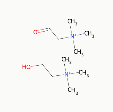 C[N+](C)(C)CC=O.C[N+](C)(C)CCO